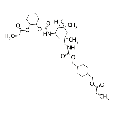 C=CC(=O)OCC1CCC(COC(=O)NCC2(C)CC(NC(=O)OC3CCCCC3OC(=O)C=C)CC(C)(C)C2)CC1